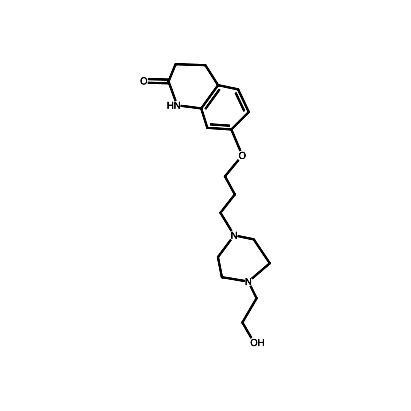 O=C1CCc2ccc(OCCCN3CCN(CCO)CC3)cc2N1